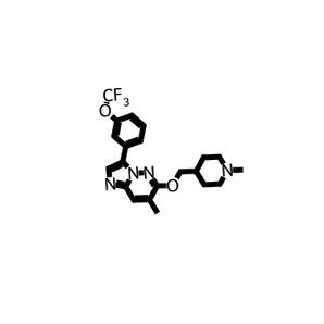 Cc1cc2ncc(-c3cccc(OC(F)(F)F)c3)n2nc1OCC1CCN(C)CC1